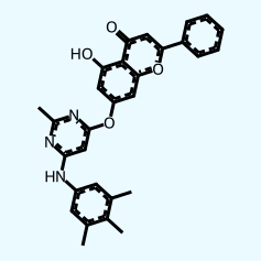 Cc1nc(Nc2cc(C)c(C)c(C)c2)cc(Oc2cc(O)c3c(=O)cc(-c4ccccc4)oc3c2)n1